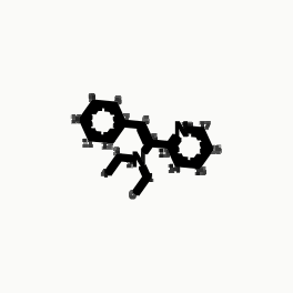 CCN(CC)C(=Cc1ccccc1)c1ccccn1